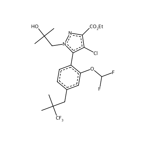 CCOC(=O)c1nn(CC(C)(C)O)c(-c2ccc(CC(C)(C)C(F)(F)F)cc2OC(F)F)c1Cl